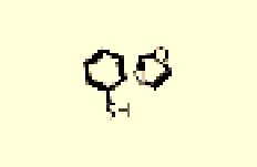 Sc1ccccc1.c1cocn1